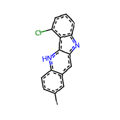 Cc1ccc2[nH]c3c4c(Cl)cccc4nc-3cc2c1